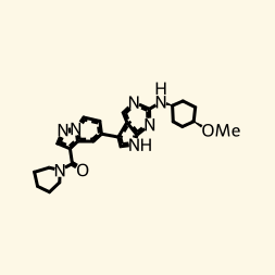 CO[C@H]1CC[C@@H](Nc2ncc3c(-c4ccn5ncc(C(=O)N6CCCCC6)c5c4)c[nH]c3n2)CC1